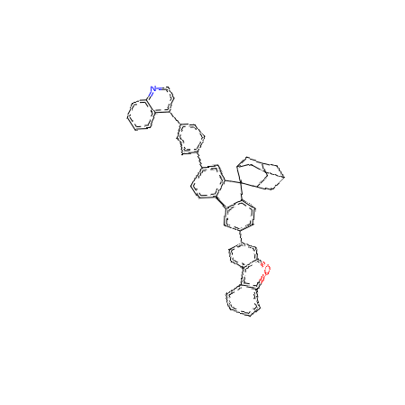 c1ccc2c(-c3ccc(-c4ccc5c(c4)C4(c6ccc(-c7ccc8c(c7)oc7ccccc78)cc6-5)C5CC6CC(C5)CC4C6)cc3)ccnc2c1